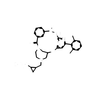 CCOC(=O)C1CC1CN1CCN2C[C@@H](C1)Oc1cc(-c3c(C)cccc3C)nc(n1)N[S+]([O-])c1cccc(c1)C2=O